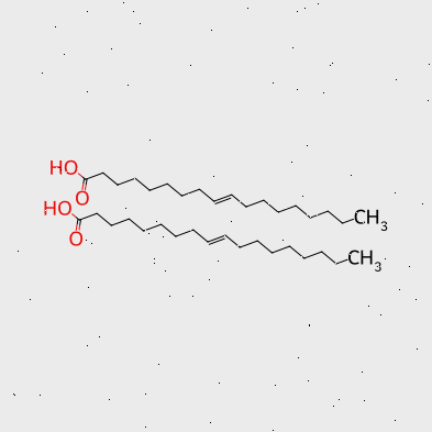 CCCCCCCCC=CCCCCCCCC(=O)O.CCCCCCCCC=CCCCCCCCC(=O)O